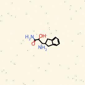 NC(=O)C(O)[C@@H](N)C1Cc2ccccc2C1